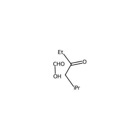 CCC(=O)CC(C)C.O=CO